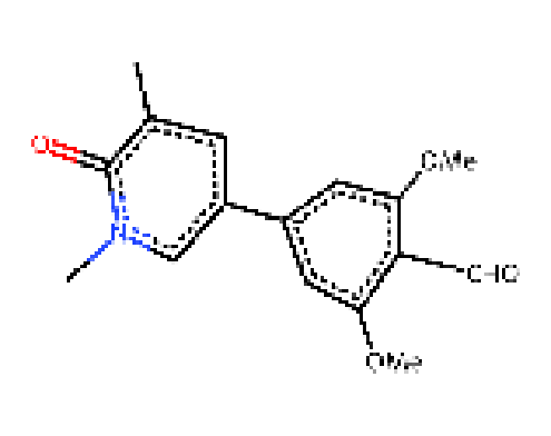 COc1cc(-c2cc(C)c(=O)n(C)c2)cc(OC)c1C=O